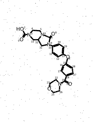 O=C(O)N1CCN2C(=O)N(c3ccc(Oc4ccc(C(=O)N5CCOCC5)cc4)cc3)CC2C1